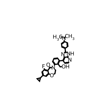 CN(C)c1ccc(-c2nc3c(-c4cccc(N5CCOc6cc(C7CC7)cc(F)c6C5=O)c4CO)ccnc3[nH]2)cc1